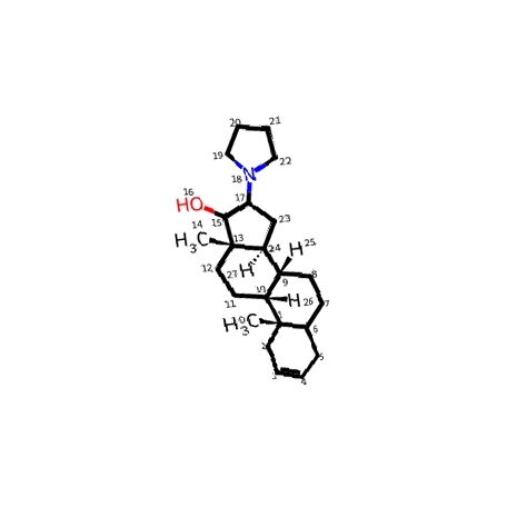 C[C@]12CC=CCC1CC[C@@H]1[C@H]2CC[C@]2(C)C(O)C(N3CCCC3)C[C@@H]12